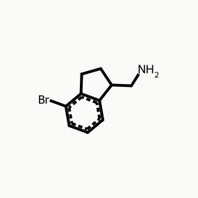 NCC1CCc2c(Br)cccc21